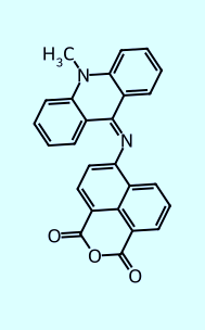 Cn1c2ccccc2c(=Nc2ccc3c4c(cccc24)C(=O)OC3=O)c2ccccc21